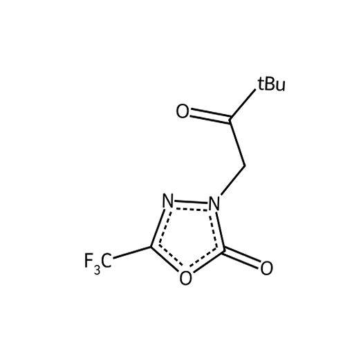 CC(C)(C)C(=O)Cn1nc(C(F)(F)F)oc1=O